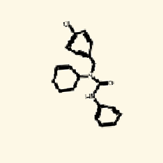 O=C(Nc1ccccc1)N(Cc1ccc(Cl)cc1)C1C=CCCC1